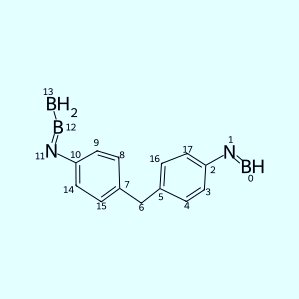 B=Nc1ccc(Cc2ccc(N=BB)cc2)cc1